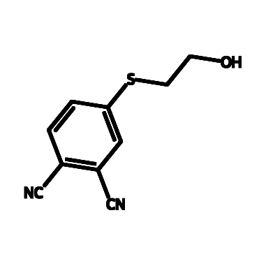 N#Cc1ccc(SCCO)cc1C#N